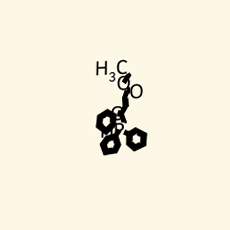 CCOC(=O)C=CC(=O)C[PH](c1ccccc1)(c1ccccc1)c1ccccc1